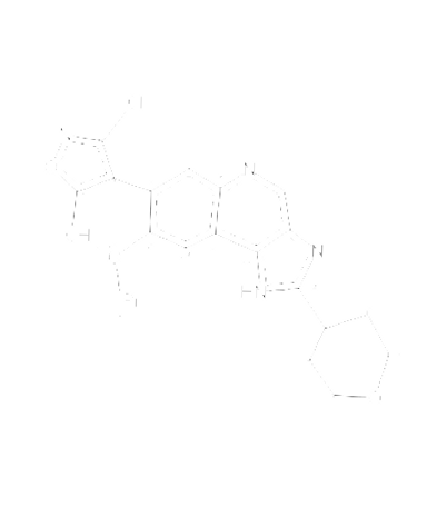 Cc1noc(C)c1-c1cc2ncc3nc(C4CCOCC4)[nH]c3c2cc1OC(C)C